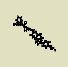 CC(C)c1ccccc1NC(=O)NS/N=C/c1cnc2c(ccc3c2ncn3-c2ccc(OC(F)(F)F)cc2)c1